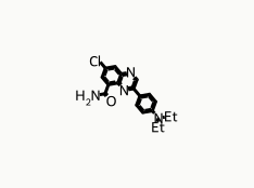 CCN(CC)c1ccc(-c2cnc3cc(Cl)cc(C(N)=O)c3n2)cc1